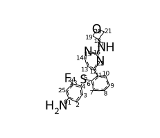 Nc1ccc(Sc2ccccc2-c2ccnc(NC3COC3)n2)c(F)c1